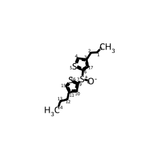 CCCc1csc([S+]([O-])c2cc(CCC)cs2)c1